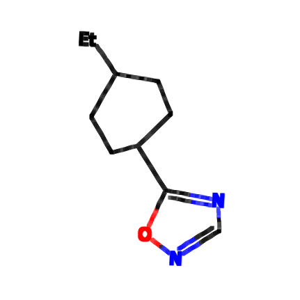 CCC1CCC(c2ncno2)CC1